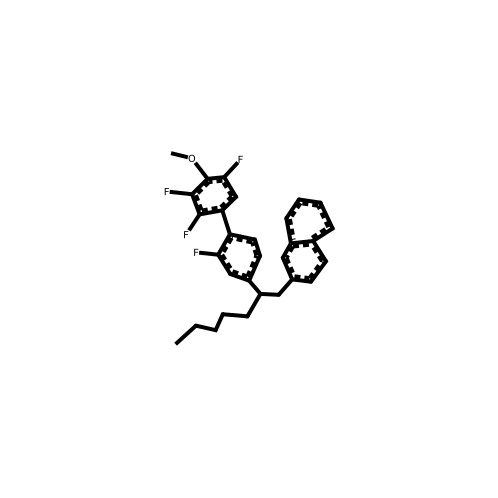 CCCCCC(Cc1ccc2ccccc2c1)c1ccc(-c2cc(F)c(OC)c(F)c2F)c(F)c1